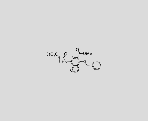 CCOC(=O)NC(=O)Nc1nc(C(=O)OC)c(OCc2ccccc2)c2ccoc12